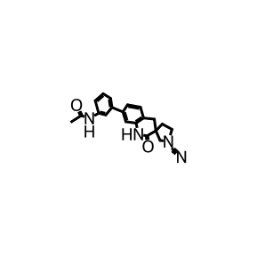 CC(=O)Nc1cccc(-c2ccc3c(c2)NC(=O)C2(CCN(C#N)C2)C3)c1